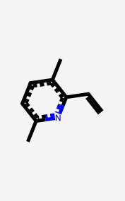 C=Cc1nc(C)ccc1C